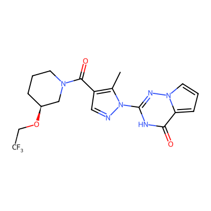 Cc1c(C(=O)N2CCC[C@H](OCC(F)(F)F)C2)cnn1-c1nn2cccc2c(=O)[nH]1